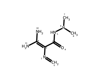 C=NC(C(=O)NN(C)C)=C(N)N